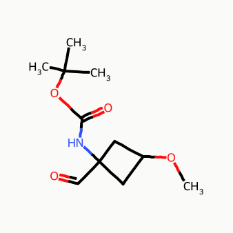 COC1CC(C=O)(NC(=O)OC(C)(C)C)C1